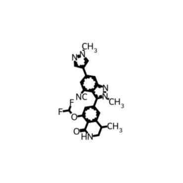 CC1CNC(=O)c2c(OC(F)F)cc(-c3c4c(C#N)cc(-c5cnn(C)c5)cc4nn3C)cc21